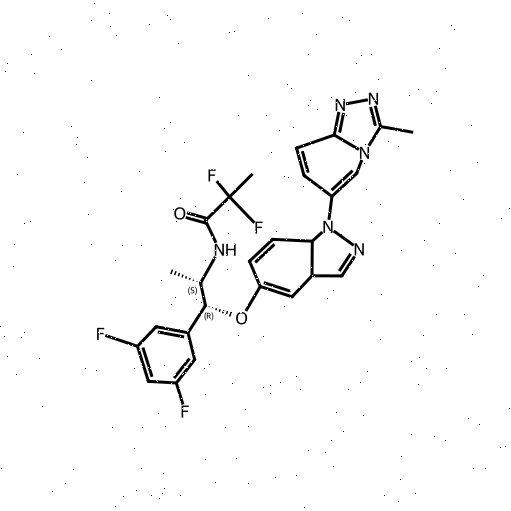 Cc1nnc2ccc(N3N=CC4C=C(O[C@H](c5cc(F)cc(F)c5)[C@H](C)NC(=O)C(C)(F)F)C=CC43)cn12